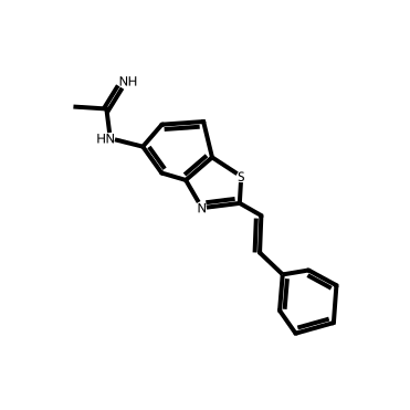 CC(=N)Nc1ccc2sc(C=Cc3ccccc3)nc2c1